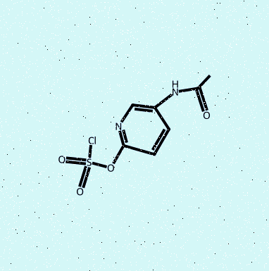 CC(=O)Nc1ccc(OS(=O)(=O)Cl)nc1